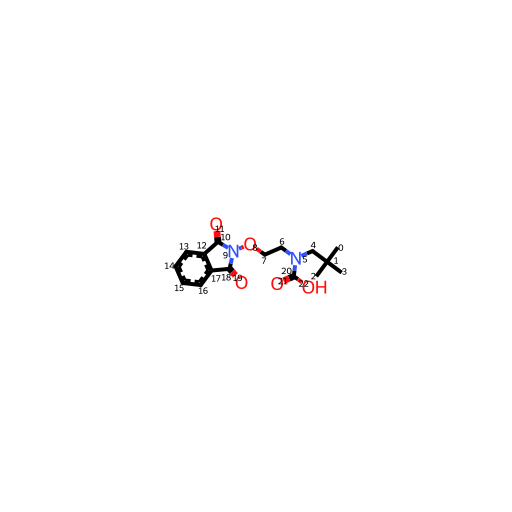 CC(C)(C)CN(CCON1C(=O)c2ccccc2C1=O)C(=O)O